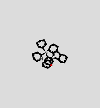 c1ccc(-n2c3ccccc3c3cccc([Si](c4ccccc4)(c4ccccc4)c4ccccn4)c32)cc1